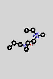 C1=CC2c3cc(-c4nc(-c5ccccc5)nc(-c5cccc(-c6ccccc6)c5)n4)ccc3OC2c2c1n(-c1ccc(-c3cccc(-c4ccccc4)c3)cc1)c1ccccc21